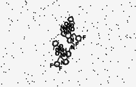 Cc1ccccc1S(=O)(=O)NC(=O)N[C@@H](Cc1cc(F)cc(F)c1)c1ncccc1-c1ccc(CN(C)Cc2ccc(-c3ccc4cn(C)nc4c3)c([C@H](Cc3cc(F)cc(F)c3)NC(=O)NS(=O)(=O)c3ccccc3C)n2)cc1